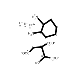 NC1CCCCC1N.O=C([O-])CC(C(=O)[O-])C([O-])C(=O)[O-].[H+].[H+].[Pt+2]